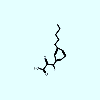 CCCCCc1cccc(C(F)C(=O)C(=O)O)c1